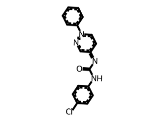 O=C(N=c1ccn(-c2ccccc2)nc1)Nc1ccc(Cl)cc1